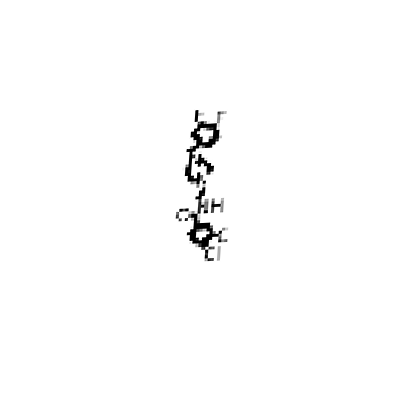 O=C(NCCN1CCN(Cc2ccc(F)c(F)c2)CC1)c1ccc(Cl)c(Cl)c1